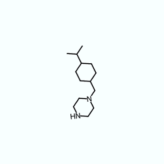 CC(C)C1CCC(CN2CCNCC2)CC1